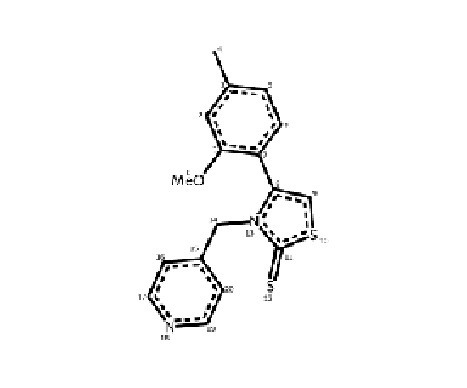 COc1cc(C)ccc1-c1csc(=S)n1Cc1ccncc1